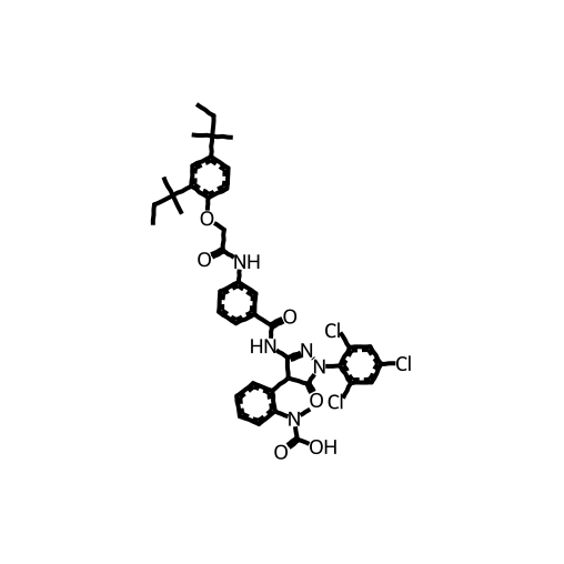 CCC(C)(C)c1ccc(OCC(=O)Nc2cccc(C(=O)NC3=NN(c4c(Cl)cc(Cl)cc4Cl)C(=O)C3c3ccccc3N(C)C(=O)O)c2)c(C(C)(C)CC)c1